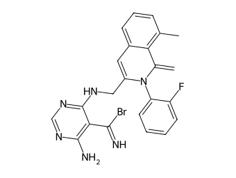 C=C1c2c(C)cccc2C=C(CNc2ncnc(N)c2C(=N)Br)N1c1ccccc1F